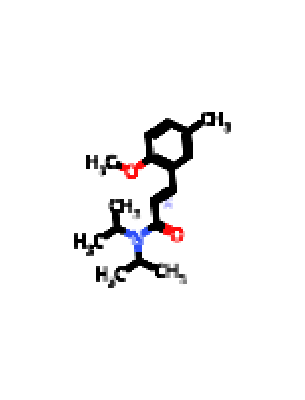 COc1ccc(C)cc1/C=C/C(=O)N(C(C)C)C(C)C